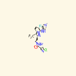 CN1CC[C@@H](Nc2cccc3c(CC(F)(F)F)c(C#CCNC(=O)c4cc(Cl)n(C)c4)nn23)[C@@H](F)C1